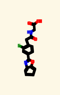 O=C(O)CNC(=O)Cc1ccc(-c2nc3ccccc3o2)cc1F